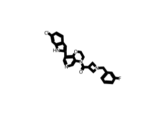 O=C(C1CN(Cc2cccc(F)c2)C1)N1CCOc2c(-c3cc4ccc(Cl)cc4[nH]3)cncc21